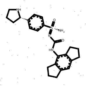 N[S@](=O)(=NC(=O)Nc1c2c(cc3c1CCC3)CCC2)c1ccc([C@@H]2CCCN2)cc1